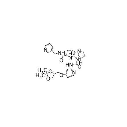 CC1(C)OC[C@H](COc2ccnc(NC(=O)N3C4=C(C=CC(C(=O)NCc5cccnc5)N4)N4CC[C@H]3C4)c2)O1